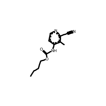 CCCCOC(=O)Nc1ccnc(C#N)c1C